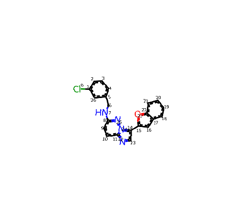 Clc1cccc(CNc2ccc3ncc(-c4cc5ccccc5o4)n3n2)c1